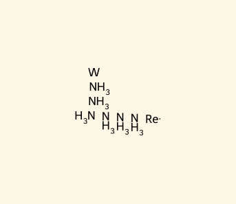 N.N.N.N.N.N.[Re].[W]